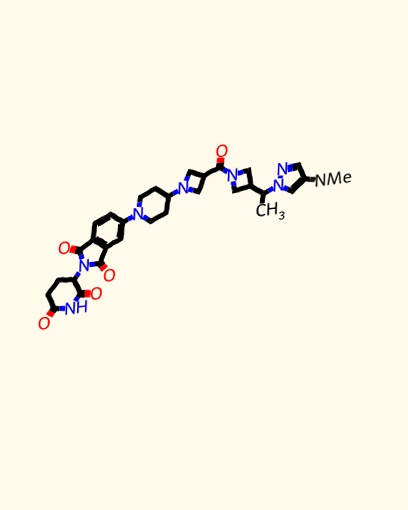 CNc1cnn(C(C)C2CN(C(=O)C3CN(C4CCN(c5ccc6c(c5)C(=O)N(C5CCC(=O)NC5=O)C6=O)CC4)C3)C2)c1